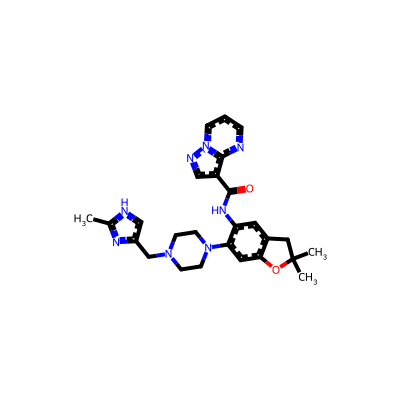 Cc1nc(CN2CCN(c3cc4c(cc3NC(=O)c3cnn5cccnc35)CC(C)(C)O4)CC2)c[nH]1